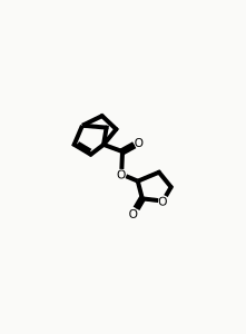 O=C1OCCC1OC(=O)C12C=CC(CC1)C2